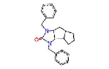 O=C1N(Cc2ccccc2)C2CC3CCCC3C2N1Cc1ccccc1